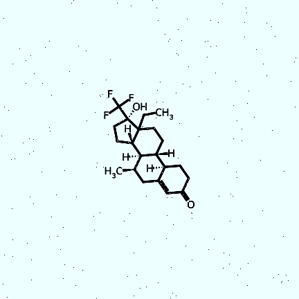 CCC12CC[C@H]3[C@@H]([C@H](C)CC4=CC(=O)CC[C@@H]43)[C@@H]1CC[C@@]2(O)C(F)(F)F